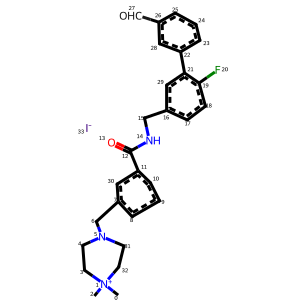 C[N+]1(C)CCN(Cc2cccc(C(=O)NCc3ccc(F)c(-c4cccc(C=O)c4)c3)c2)CC1.[I-]